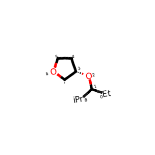 CCC(O[C@H]1CCOC1)C(C)C